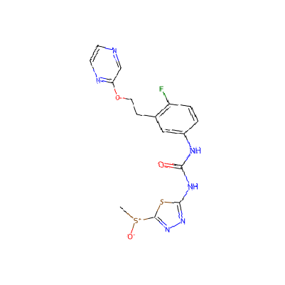 C[S+]([O-])c1nnc(NC(=O)Nc2ccc(F)c(CCOc3cnccn3)c2)s1